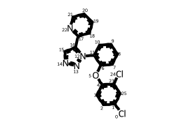 Clc1ccc(Oc2ccccc2-n2nncc2-c2ccccn2)c(Cl)c1